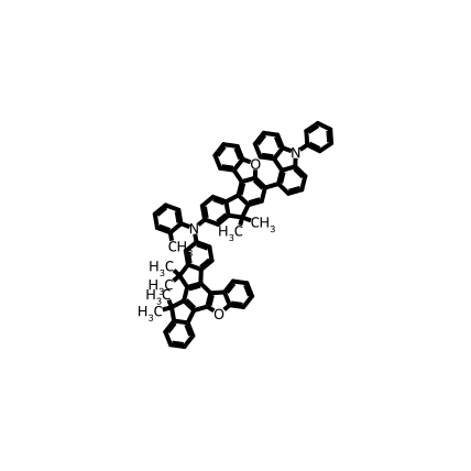 Cc1ccccc1N(c1ccc2c(c1)C(C)(C)c1cc(-c3cccc4c3c3ccccc3n4-c3ccccc3)c3oc4ccccc4c3c1-2)c1ccc2c(c1)C(C)(C)c1c3c(c4oc5ccccc5c4c1-2)-c1ccccc1C3(C)C